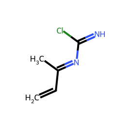 C=C/C(C)=N/C(=N)Cl